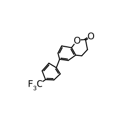 O=C1CCc2cc(-c3ccc(C(F)(F)F)cc3)ccc2O1